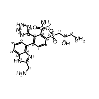 NCc1nc2c(-c3ccc(S(=O)(=O)C[C@@H](O)CN)c(S(N)(=O)=O)c3-c3nn[nH]n3)cccc2[nH]1